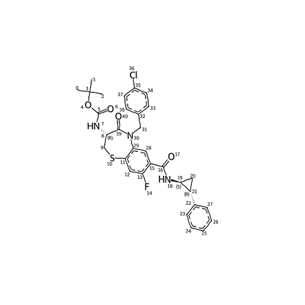 CC(C)(C)OC(=O)N[C@H]1CSc2cc(F)c(C(=O)N[C@H]3C[C@@H]3c3ccccc3)cc2N(Cc2ccc(Cl)cc2)C1=O